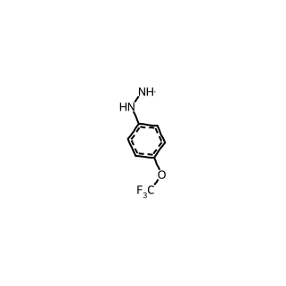 [NH]Nc1ccc(OC(F)(F)F)cc1